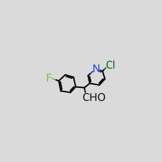 O=CC(c1ccc(F)cc1)c1ccc(Cl)nc1